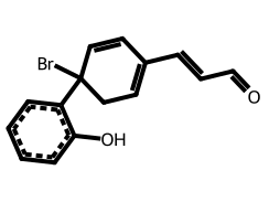 O=CC=CC1=CCC(Br)(c2ccccc2O)C=C1